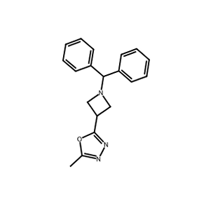 Cc1nnc(C2CN(C(c3ccccc3)c3ccccc3)C2)o1